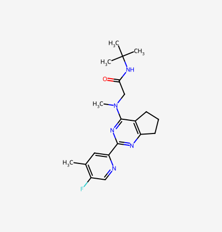 Cc1cc(-c2nc3c(c(N(C)CC(=O)NC(C)(C)C)n2)CCC3)ncc1F